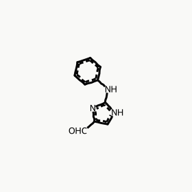 O=Cc1c[nH]c(Nc2ccccc2)n1